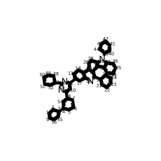 c1ccc(-c2cccc(-c3cc(-c4ccc5c(c4)nc(-c4ccccc4)c4c5ccc5c4c4ccccc4n5-c4ccccc4)nc(-c4ccccc4)n3)c2)cc1